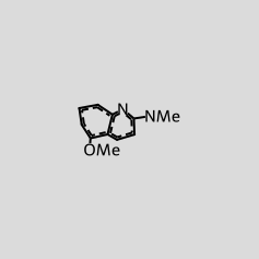 CNc1ccc2c(OC)cccc2n1